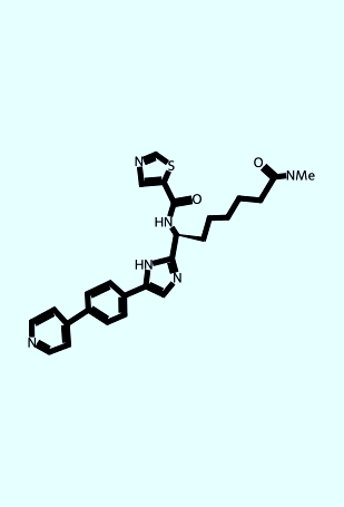 CNC(=O)CCCCC[C@H](NC(=O)c1cncs1)c1ncc(-c2ccc(-c3ccncc3)cc2)[nH]1